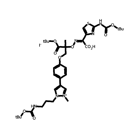 C[n+]1cc(-c2ccc(OCC(C)(O/N=C(\C(=O)O)c3csc(NC(=O)OC(C)(C)C)n3)C(=O)OC(C)(C)C)cc2)cn1CCCNC(=O)OC(C)(C)C.[I-]